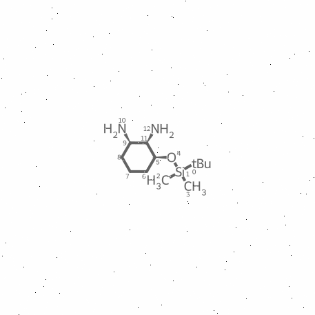 CC(C)(C)[Si](C)(C)O[C@H]1CCC[C@@H](N)[C@H]1N